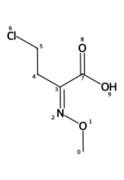 CO/N=C(/CCCl)C(=O)O